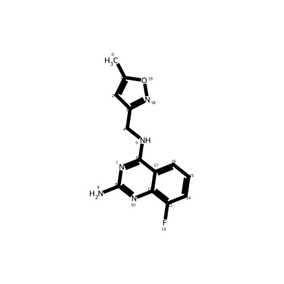 Cc1cc(CNc2nc(N)nc3c(F)cccc23)no1